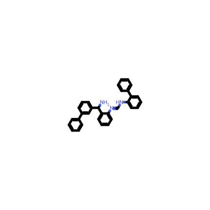 NC(c1cccc(-c2ccccc2)c1)c1ccccc1/N=C/Nc1ccccc1-c1ccccc1